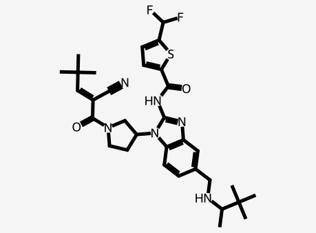 CC(NCc1ccc2c(c1)nc(NC(=O)c1ccc(C(F)F)s1)n2C1CCN(C(=O)C(C#N)=CC(C)(C)C)C1)C(C)(C)C